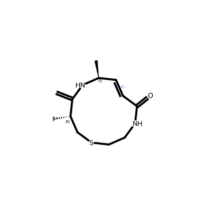 C=C1N[C@@H](C)/C=C/C(=O)NCCSC[C@@H]1I